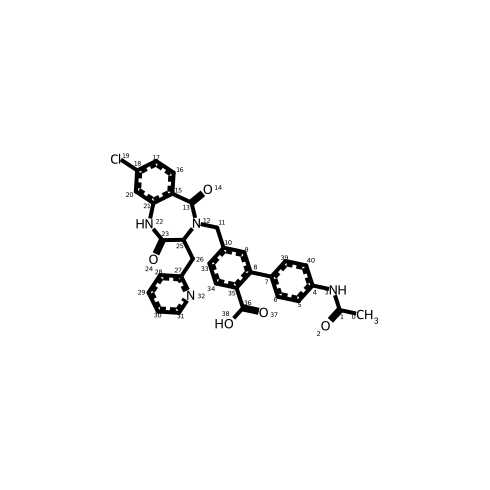 CC(=O)Nc1ccc(-c2cc(CN3C(=O)c4ccc(Cl)cc4NC(=O)C3Cc3ccccn3)ccc2C(=O)O)cc1